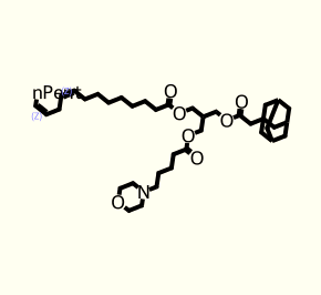 CCCCC/C=C\C/C=C\CCCCCCCC(=O)OCC(COC(=O)CCCCN1CCOCC1)COC(=O)CC12CC3CC(CC(C3)C1)C2